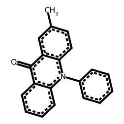 Cc1ccc2c(c1)c(=O)c1ccccc1n2-c1ccccc1